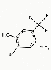 Cc1cc(C(F)(F)F)ccc1Br.[SnH4]